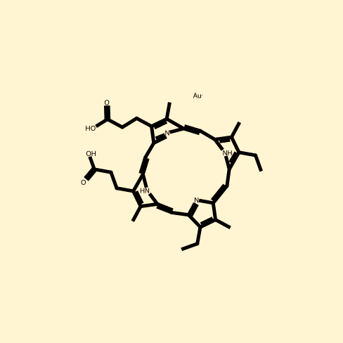 CCC1=C(C)c2cc3[nH]c(cc4nc(cc5[nH]c(cc1n2)c(C)c5CCC(=O)O)C(CCC(=O)O)=C4C)c(C)c3CC.[Au]